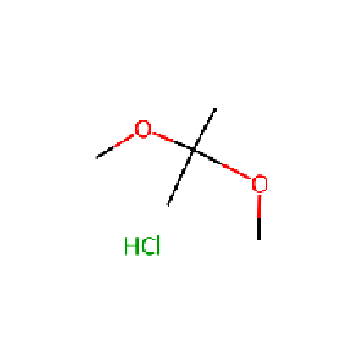 COC(C)(C)OC.Cl